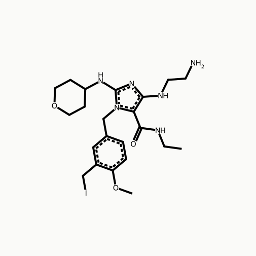 CCNC(=O)c1c(NCCN)nc(NC2CCOCC2)n1Cc1ccc(OC)c(CI)c1